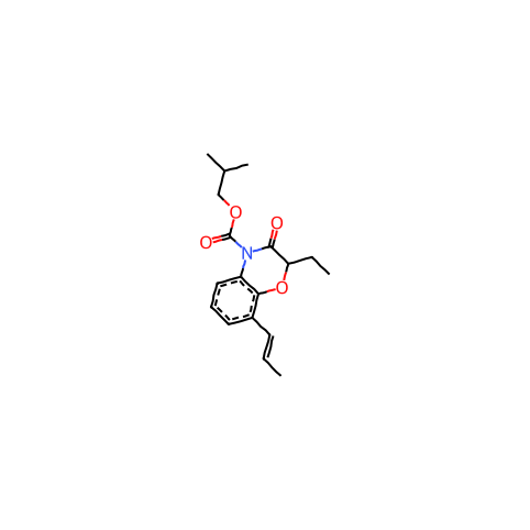 C/C=C/c1cccc2c1OC(CC)C(=O)N2C(=O)OCC(C)C